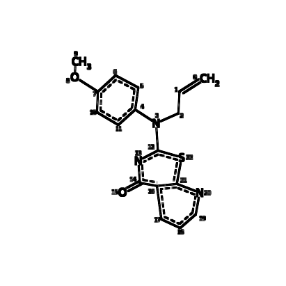 C=CCN(c1ccc(OC)cc1)c1nc(=O)c2cccnc2s1